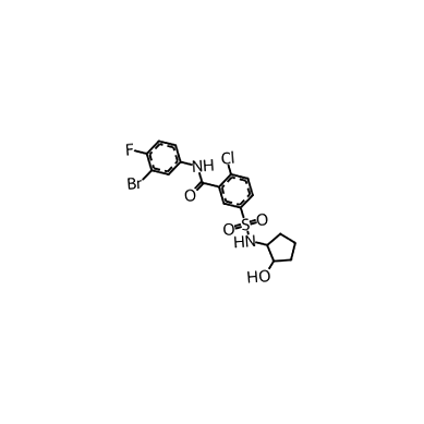 O=C(Nc1ccc(F)c(Br)c1)c1cc(S(=O)(=O)NC2CCCC2O)ccc1Cl